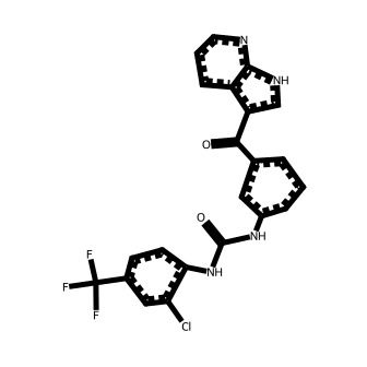 O=C(Nc1cccc(C(=O)c2c[nH]c3ncccc23)c1)Nc1ccc(C(F)(F)F)cc1Cl